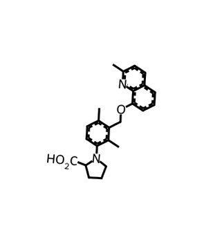 Cc1ccc2cccc(OCc3c(C)ccc(N4CCCC4C(=O)O)c3C)c2n1